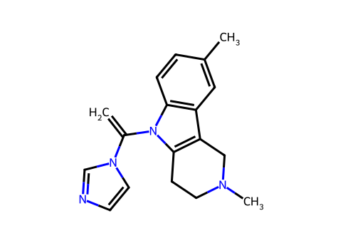 C=C(n1ccnc1)n1c2c(c3cc(C)ccc31)CN(C)CC2